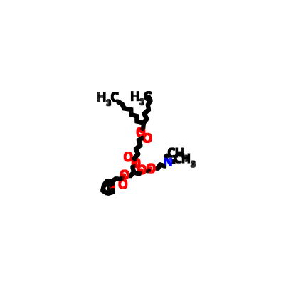 CCCCCCCCC(CCCCCC)COC(=O)CCCCC(=O)OCC(COCOCCCN(CC)CC)COC(=O)CC12CC3CC(CC1C3)C2